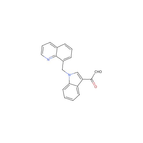 O=CC(=O)c1cn(Cc2cccc3cccnc23)c2ccccc12